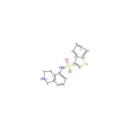 O=S(=O)(Nc1cccc2c1CCNC2)c1csc2ccccc12